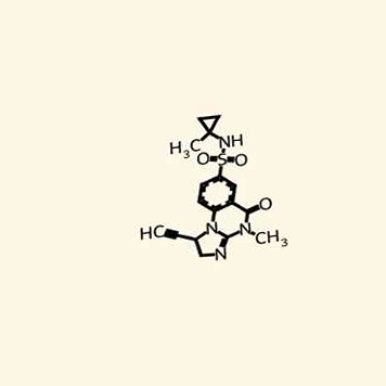 C#CC1CN=C2N(C)C(=O)c3cc(S(=O)(=O)NC4(C)CC4)ccc3N21